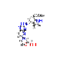 COc1ccc(CNc2cnc3ccc(N4CCO[C@@H](CO)C4)nc3n2)c2c(C)c[nH]c12